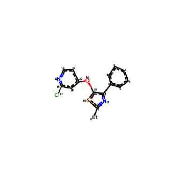 CCc1nc(-c2ccccc2)c(Oc2ccnc(Cl)c2)s1